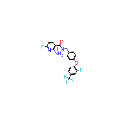 Nc1nc(F)ccc1C(=O)NCc1ccc(Oc2ccc(C(F)(F)F)cc2F)cc1